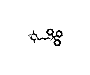 CC1CN(CCCCSC(c2ccccc2)(c2ccccc2)c2ccccc2)C(C)CN1